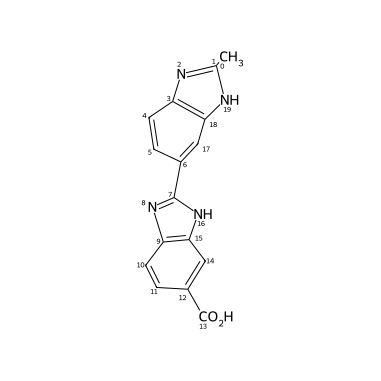 Cc1nc2ccc(-c3nc4ccc(C(=O)O)cc4[nH]3)cc2[nH]1